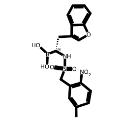 Cc1ccc([N+](=O)[O-])c(CS(=O)(=O)N[C@@H](Cc2coc3ccccc23)B(O)O)c1